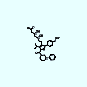 CC(C)c1c(C(=O)N2CCC[C@@H](c3ccccc3)C2)nn(-c2ccc(F)cc2)c1CC[C@@H](O)C[C@@H](O)CC(=O)[O-].[Na+]